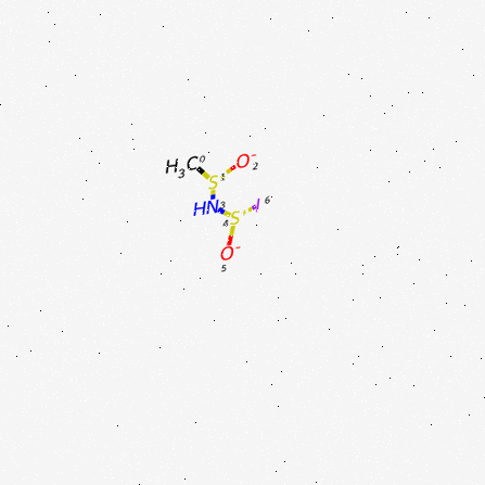 C[S+]([O-])N[S+]([O-])I